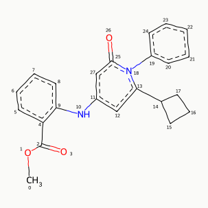 COC(=O)c1ccccc1Nc1cc(C2CCC2)n(-c2ccccc2)c(=O)c1